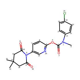 CN(C(=O)Oc1ccc(N2C(=O)CC(C)(C)CC2=O)cn1)c1ccc(Cl)cc1